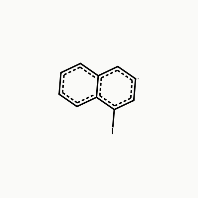 Ic1c[c]cc2ccccc12